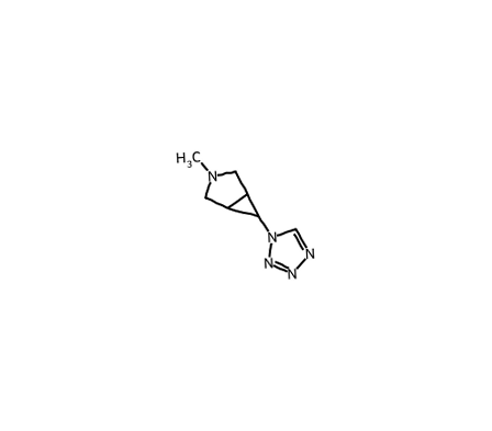 CN1CC2C(C1)C2n1cnnn1